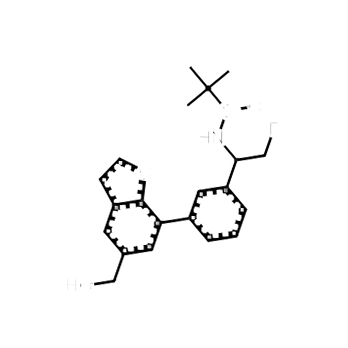 CC(C)(C)[S+]([O-])NC(CF)c1cccc(-c2cc(CO)cc3ccoc23)c1